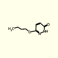 CCCCOc1ccc(=O)[nH]n1